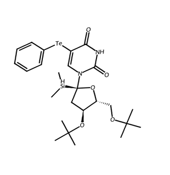 C[SiH](C)[C@]1(n2cc([Te]c3ccccc3)c(=O)[nH]c2=O)C[C@H](OC(C)(C)C)[C@@H](COC(C)(C)C)O1